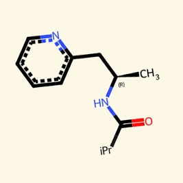 CC(C)C(=O)N[C@H](C)Cc1ccccn1